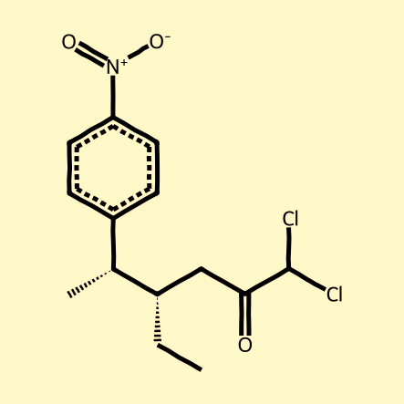 CC[C@@H](CC(=O)C(Cl)Cl)[C@H](C)c1ccc([N+](=O)[O-])cc1